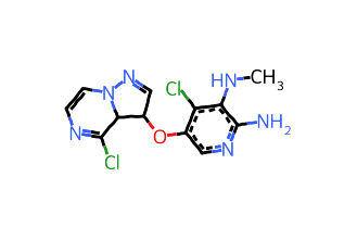 CNc1c(N)ncc(OC2C=NN3C=CN=C(Cl)C23)c1Cl